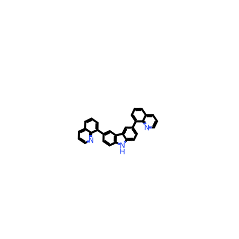 c1cnc2c(-c3ccc4[nH]c5ccc(-c6cccc7cccnc67)cc5c4c3)cccc2c1